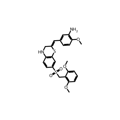 COc1ccc(C=C2CNc3ccc(S(=O)(=O)Cc4c(OC)cccc4OC)cc3S2)cc1N